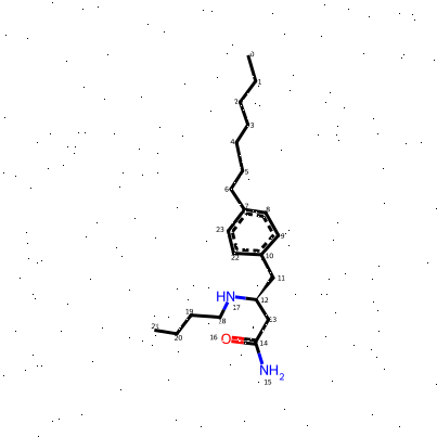 CCCCCCCc1ccc(C[C@@H](CC(N)=O)NCCCC)cc1